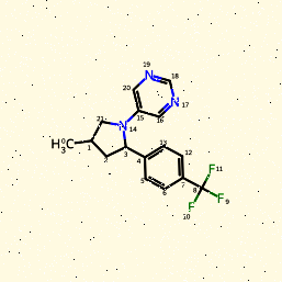 CC1CC(c2ccc(C(F)(F)F)cc2)N(c2[c]ncnc2)C1